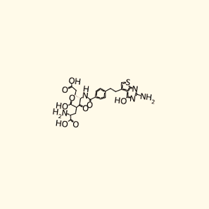 Nc1nc(O)c2c(CCc3ccc(C(=O)N[C@@H](CCC(=O)O)C(=O)C(C[C@H](N)C(=O)O)C(=O)O)cc3)csc2n1